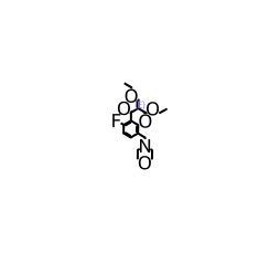 CCO/C=C(/C(=O)OCC)C(=O)c1cc(CN2CCOCC2)ccc1F